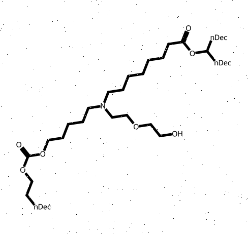 CCCCCCCCCCCCOC(=O)OCCCCCN(CCCCCCCC(=O)OC(CCCCCCCCCC)CCCCCCCCCC)CCOCCO